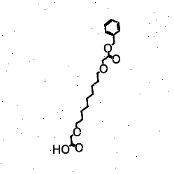 O=C(O)COCCCCCCCCCOCC(=O)OCc1ccccc1